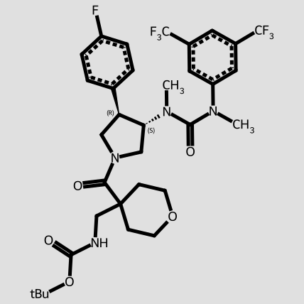 CN(C(=O)N(C)[C@@H]1CN(C(=O)C2(CNC(=O)OC(C)(C)C)CCOCC2)C[C@H]1c1ccc(F)cc1)c1cc(C(F)(F)F)cc(C(F)(F)F)c1